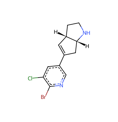 Clc1cc(C2=C[C@@H]3CCN[C@@H]3C2)cnc1Br